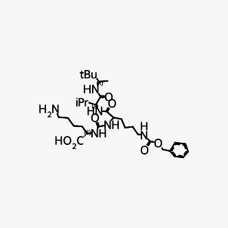 CC(C)[C@H](NC(=O)C(CCCCNC(=O)OCc1ccccc1)NC(=O)N[C@@H](CCCCN)C(=O)O)C(=O)N[C@H](C)C(C)(C)C